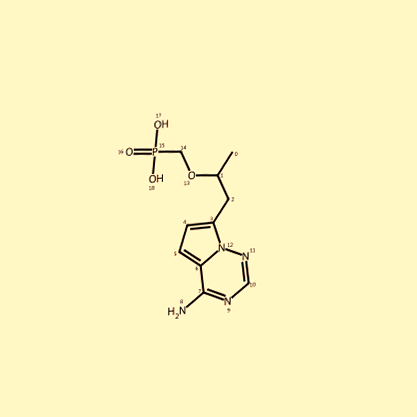 CC(Cc1ccc2c(N)ncnn12)OCP(=O)(O)O